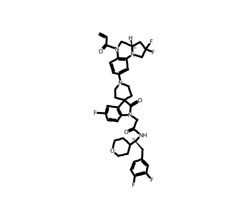 C=CC(=O)N1C[C@@H]2CC(F)(F)CN2c2cc(N3CCC4(CC3)C(=O)N(CC(=O)N[C@@H](Cc3ccc(F)c(F)c3)C3CCOCC3)c3ccc(F)cc34)ccc21